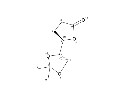 CC1(C)OC[C@@H]([C@H]2CCC(=O)O2)O1